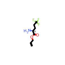 C=CCOC(=O)[C@@H](N)CCC(F)(F)F